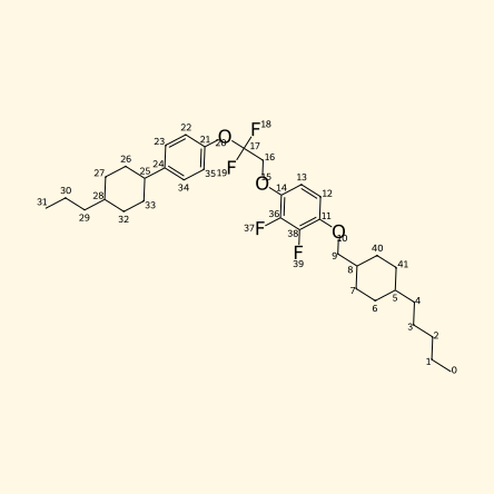 CCCCCC1CCC(COc2ccc(OCC(F)(F)Oc3ccc(C4CCC(CCC)CC4)cc3)c(F)c2F)CC1